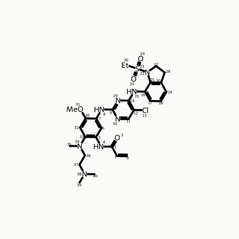 C=CC(=O)Nc1cc(Nc2ncc(Cl)c(Nc3cccc4c3N(S(=O)(=O)CC)CC4)n2)c(OC)cc1N(C)CCN(C)C